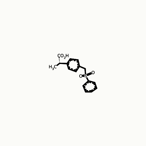 C[C@H](C(=O)O)c1ccc(CS(=O)(=O)c2ccccc2)cc1